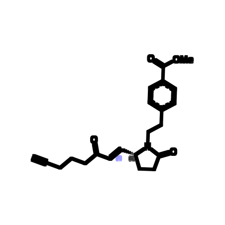 C#CCCCC(=O)/C=C/[C@H]1CCC(=O)N1CCc1ccc(C(=O)OC)cc1